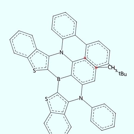 Cc1cc2c3c(c1)N(c1ccccc1-c1ccc(C(C)(C)C)cc1)c1c(sc4ccccc14)B3c1sc3ccccc3c1N2c1ccccc1